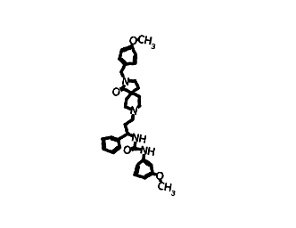 COc1ccc(CN2CCC3(CCN(CCC(NC(=O)Nc4cccc(OC)c4)c4ccccc4)CC3)C2=O)cc1